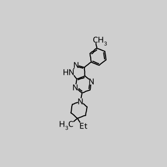 CCC1(C)CCN(c2cnc3c(-c4cccc(C)c4)n[nH]c3n2)CC1